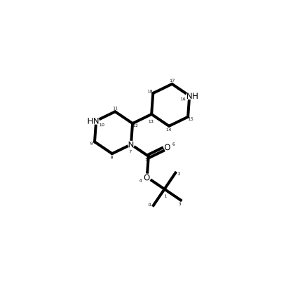 CC(C)(C)OC(=O)N1CCNCC1C1CCNCC1